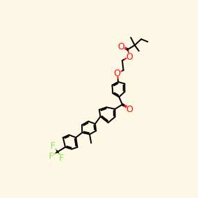 CCC(C)(C)C(=O)OCCOc1ccc(C(=O)c2ccc(-c3ccc(-c4ccc(C(F)(F)F)cc4)c(C)c3)cc2)cc1